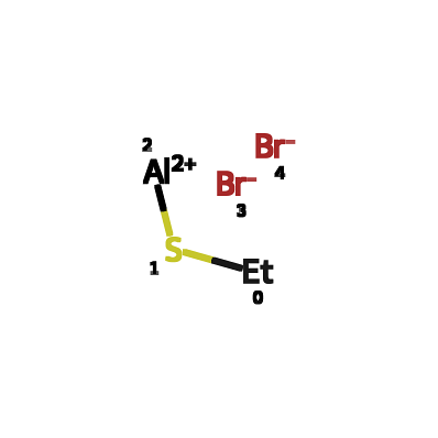 CC[S][Al+2].[Br-].[Br-]